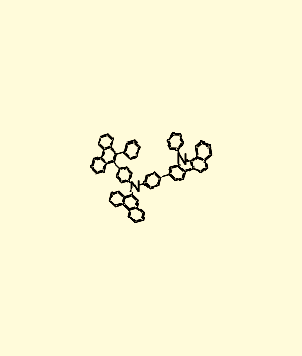 c1ccc(-c2c(-c3ccc(N(c4ccc(-c5ccc6c7ccc8ccccc8c7n(-c7ccccc7)c6c5)cc4)c4cc5ccccc5c5ccccc45)cc3)c3ccccc3c3ccccc23)cc1